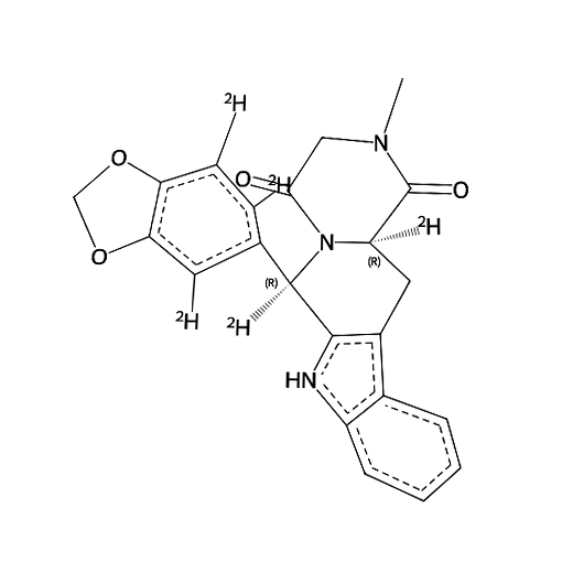 [2H]c1c([2H])c([C@]2([2H])c3[nH]c4ccccc4c3C[C@]3([2H])C(=O)N(C)CC(=O)N23)c([2H])c2c1OCO2